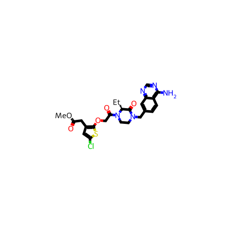 CC[C@H]1C(=O)N(Cc2ccc3c(N)ncnc3c2)CCN1C(=O)COc1sc(Cl)cc1CC(=O)OC